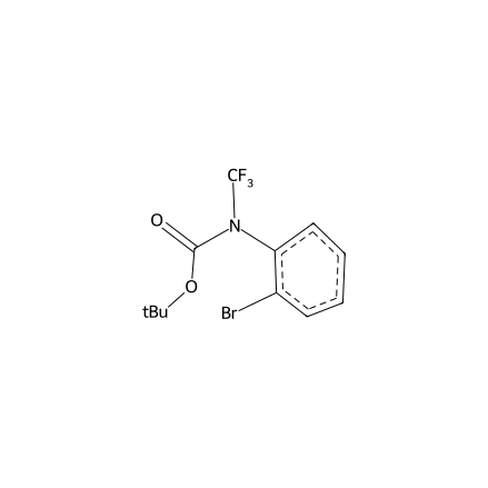 CC(C)(C)OC(=O)N(c1ccccc1Br)C(F)(F)F